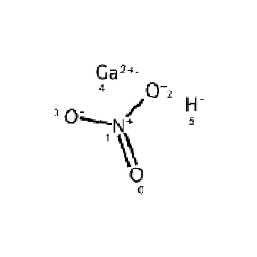 O=[N+]([O-])[O-].[Ga+2].[H-]